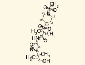 CC(C)(CO)c1cc(NC(=O)C(C)(C)S(=O)(=O)C2CCN(S(C)(=O)=O)CC2)on1